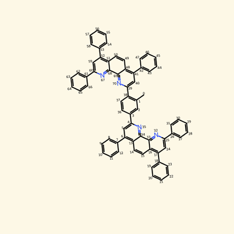 Cc1cc(-c2cc(-c3ccccc3)c3ccc4c(-c5ccccc5)cc(-c5ccccc5)nc4c3n2)ccc1-c1cc(-c2ccccc2)c2ccc3c(-c4ccccc4)cc(-c4ccccc4)nc3c2n1